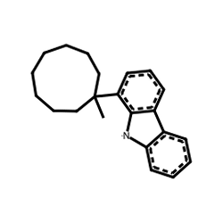 CC1(c2cccc3c2[N]c2ccccc2-3)CCCCCCCC1